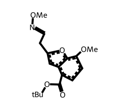 CON=CCc1cc2c(C(=O)OC(C)(C)C)ccc(OC)c2o1